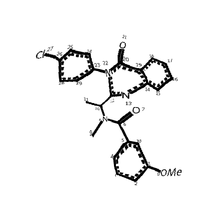 COc1cccc(C(=O)N(C)C(C)c2nc3ccccc3c(=O)n2-c2ccc(Cl)cc2)c1